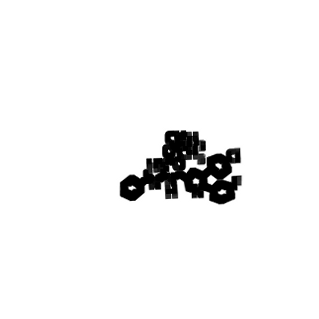 CC(C)(C)OC(=O)N/C(=N\Sc1ccccc1)NCc1cnc(-c2cccc(F)c2)c(-c2ccc(Cl)cc2)c1